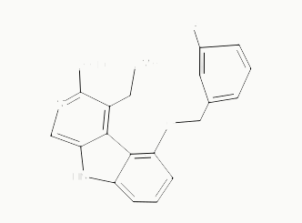 CCOC(=O)c1ncc2[nH]c3cccc(OCc4cccc(Br)c4)c3c2c1COC